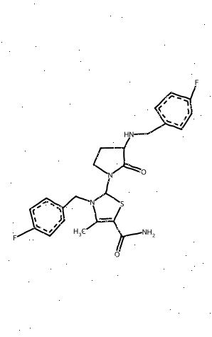 CC1=C(C(N)=O)SC(N2CCC(NCc3ccc(F)cc3)C2=O)N1Cc1ccc(F)cc1